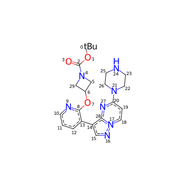 CC(C)(C)OC(=O)N1CC(Oc2ncccc2-c2cnn3ccc(N4CCNCC4)nc23)C1